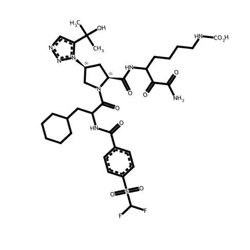 CC(C)(O)c1cnnn1[C@H]1C[C@@H](C(=O)NC(CCCCNC(=O)O)C(=O)C(N)=O)N(C(=O)C(CC2CCCCC2)NC(=O)c2ccc(S(=O)(=O)C(F)F)cc2)C1